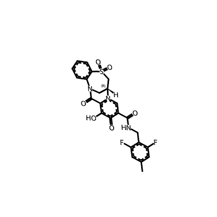 Cc1cc(F)c(CNC(=O)c2cn3c(c(O)c2=O)C(=O)N2C[C@@H]3CS(=O)(=O)c3ccccc32)c(F)c1